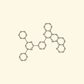 c1ccc(-c2cc(-c3ccccc3)nc(-c3cccc(-c4nc5ccccc5c5cc6ccc7cccnc7c6nc45)c3)n2)cc1